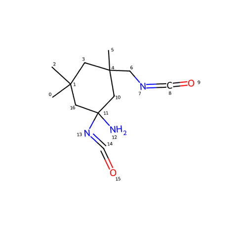 CC1(C)CC(C)(CN=C=O)CC(N)(N=C=O)C1